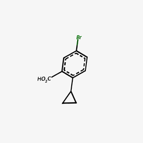 O=C(O)c1cc(Br)ccc1C1CC1